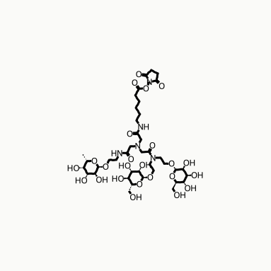 C[C@@H]1O[C@@H](OCCNC(=O)CN(CC(=O)NCCCCCC(=O)ON2C(=O)CCC2=O)CC(=O)N(CCO[C@H]2O[C@H](CO)[C@@H](O)[C@H](O)[C@@H]2O)CCO[C@H]2O[C@H](CO)[C@@H](O)[C@H](O)[C@@H]2O)[C@@H](O)[C@H](O)[C@@H]1O